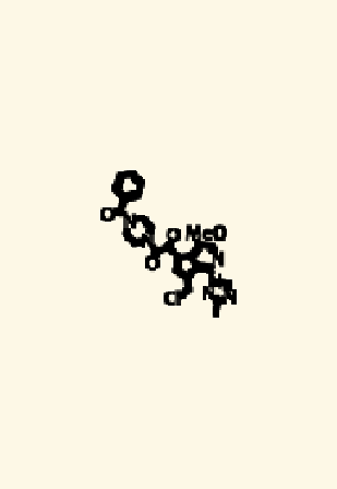 COc1cnc(-n2cnc(C)n2)c2c1C(C(=O)C(=O)N1CCN(C(=O)c3ccccc3)CC1)=CC2CCl